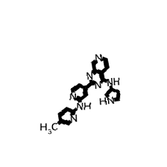 Cc1ccc(Nc2cc(-c3nc(NC4CCNC4)c4ccncc4n3)ccn2)nc1